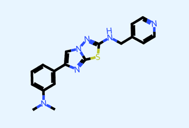 CN(C)c1cccc(-c2cn3nc(NCc4ccncc4)sc3n2)c1